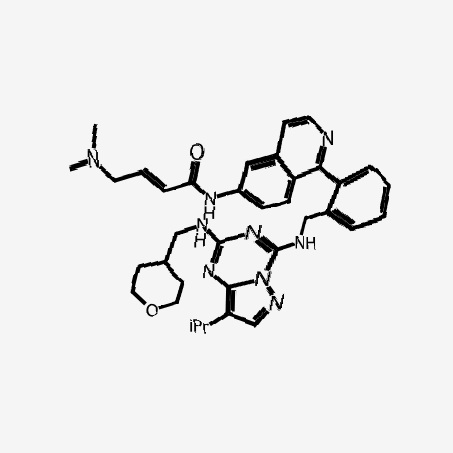 CC(C)c1cnn2c(NCc3ccccc3-c3nccc4cc(NC(=O)/C=C/CN(C)C)ccc34)nc(NCC3CCOCC3)nc12